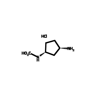 Cl.N[C@H]1CC[C@@H](NC(=O)O)C1